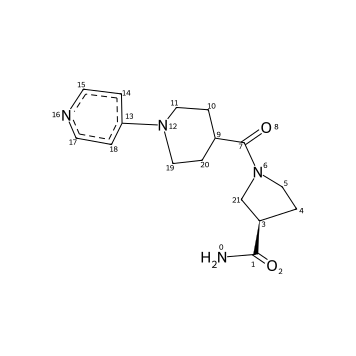 NC(=O)[C@@H]1CCN(C(=O)C2CCN(c3ccncc3)CC2)C1